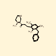 Cc1cc(C)c(Cc2ccccc2)c(C)c1CCC(=O)[C@@H]1CNCCN1C